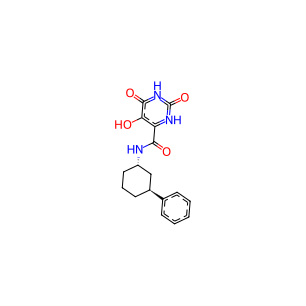 O=C(N[C@H]1CCC[C@H](c2ccccc2)C1)c1[nH]c(=O)[nH]c(=O)c1O